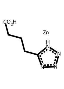 O=C(O)CCCc1nnn[nH]1.[Zn]